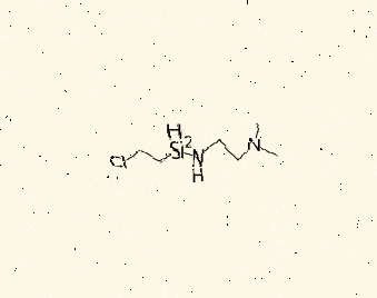 CN(C)CCN[SiH2]CCCl